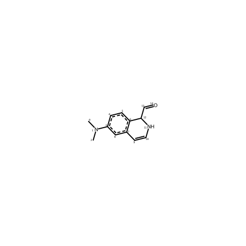 CN(C)c1ccc2c(c1)C=CNC2C=O